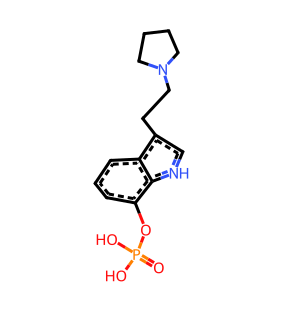 O=P(O)(O)Oc1cccc2c(CCN3CCCC3)c[nH]c12